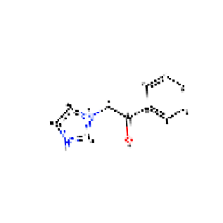 C/C=C\C(=C/C)C(=O)Cn1ccnc1